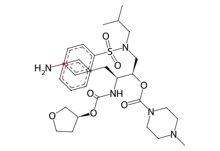 CC(C)CN(C[C@@H](OC(=O)N1CCN(C)CC1)[C@H](Cc1ccccc1)NC(=O)O[C@H]1CCOC1)S(=O)(=O)c1ccc(N)cc1